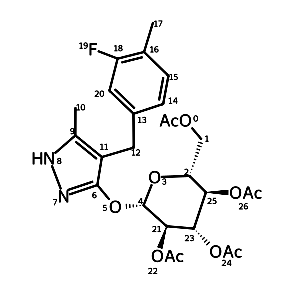 CC(=O)OC[C@H]1O[C@@H](Oc2n[nH]c(C)c2Cc2ccc(C)c(F)c2)[C@H](OC(C)=O)[C@@H](OC(C)=O)[C@@H]1OC(C)=O